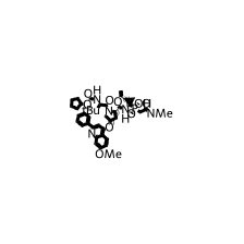 C=C[C@@H]1C[C@]1(NC(=O)[C@@H]1C[C@@H](Oc2cc(-c3ccccc3)nc3cc(OC)ccc23)CN1C(=O)C(NC(=O)OC1CCCC1)C(C)(C)C)P(=O)(O)CC(=O)NC